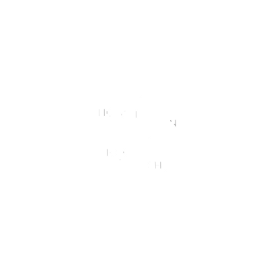 CC(C(=O)O)c1cnc2ccccc2c1.Cl.Cl